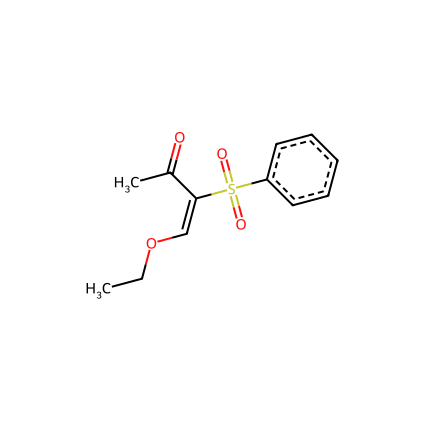 CCOC=C(C(C)=O)S(=O)(=O)c1ccccc1